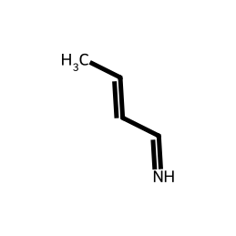 CC=CC=N